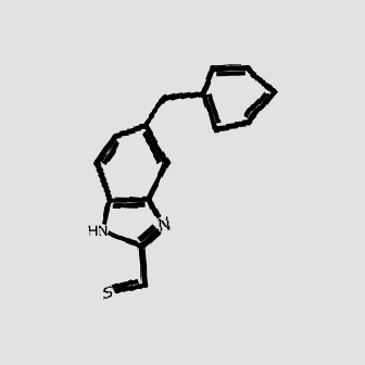 S=Cc1nc2cc(Cc3ccccc3)ccc2[nH]1